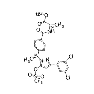 C[C@H](NC(=O)c1ccc([C@H](C)n2nc(-c3cc(Cl)cc(Cl)c3)cc2OS(=O)(=O)C(F)(F)F)cc1)C(=O)OC(C)(C)C